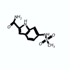 CS(=O)(=O)Nc1ccc2cc(C(N)=O)[nH]c2c1